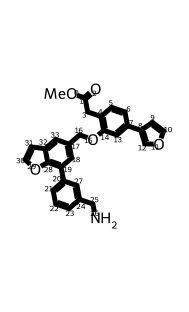 COC(=O)Cc1ccc(-c2ccoc2)cc1OCc1cc(-c2cccc(CN)c2)c2occc2c1